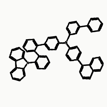 c1ccc(-c2cccc(N(c3ccc(-c4ccccc4-c4ccccc4-n4c5ccccc5c5ccccc54)cc3)c3ccc(-c4cccc5ccccc45)cc3)c2)cc1